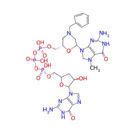 CN1CN(C2CN(Cc3ccccc3)C[C@@H](COP(=O)(O)OP(=O)(O)OP(=O)(O)OCC3C[C@@H](O)C(n4cnc5c(=O)[nH]c(N)nc54)O3)O2)c2nc(N)[nH]c(=O)c21